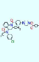 CC(=O)ON1CCN(c2ccc(C(=O)N3c4ccccc4[C@H](N(C(C)=O)c4ccc(Cl)cc4)C[C@@H]3C)cc2)CC1